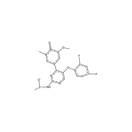 COc1cc(-c2nc(N[S+](C)[O-])ncc2Oc2ccc(F)cc2F)cn(C)c1=O